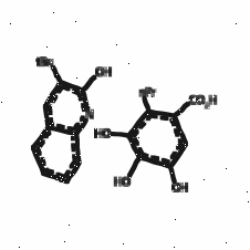 CC(C)(C)c1cc2ccccc2nc1O.CCCc1c(C(=O)O)cc(O)c(O)c1O